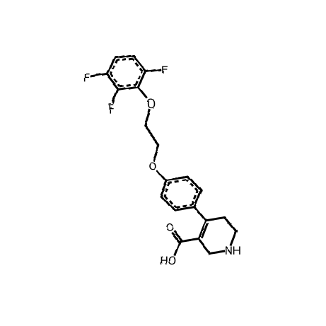 O=C(O)C1=C(c2ccc(OCCOc3c(F)ccc(F)c3F)cc2)CCNC1